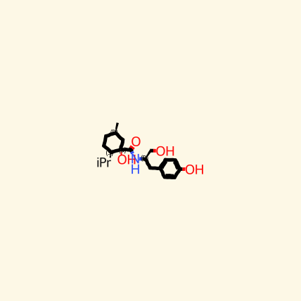 CC(C)[C@@H]1CC[C@@H](C)C[C@@]1(O)C(=O)N[C@@H](CO)Cc1ccc(O)cc1